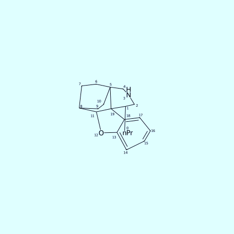 CCCC1CNCC23CCC(CC2)C2Oc4ccccc4C123